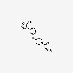 C=CC(=O)N1CCC(Oc2cccc(-c3cnoc3C)c2)CC1